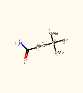 CCCC(N)=O.CCC[Si](OC)(OC)OC